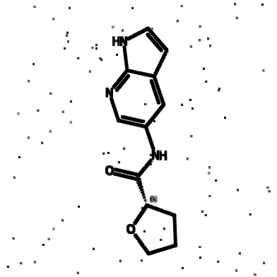 O=C(Nc1cnc2[nH]ccc2c1)[C@@H]1CCCO1